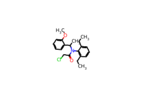 CCc1cccc(CC)c1N(C(=O)CCl)C(C)c1ccccc1OC